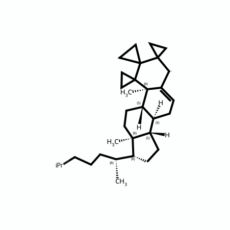 CC(C)CCC[C@@H](C)[C@H]1CC[C@H]2[C@@H]3CC=C4[CH]C5(CC5)C5(CC5)C5(CC5)[C@]4(C)[C@H]3CC[C@]12C